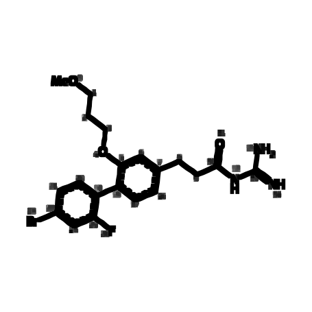 COCCCOc1cc(CCC(=O)NC(=N)N)ccc1-c1ccc(Br)cc1F